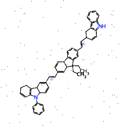 CCC1(CC)c2cc(/C=C/C3C=Cc4[nH]c5ccccc5c4C3)ccc2C2C=CC(/C=C/C3=CC4C5=C(C=CCC5)N(c5ccccc5)C4C=C3)=CC21